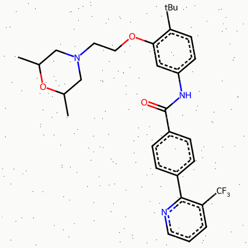 CC1CN(CCOc2cc(NC(=O)c3ccc(-c4ncccc4C(F)(F)F)cc3)ccc2C(C)(C)C)CC(C)O1